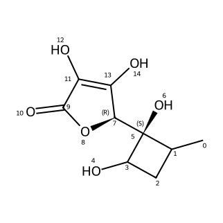 CC1CC(O)[C@]1(O)[C@H]1OC(=O)C(O)=C1O